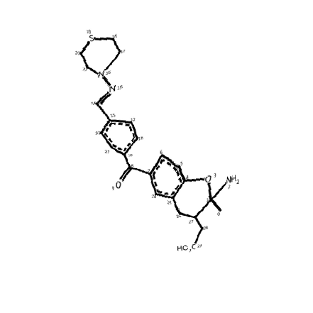 CC1(N)Oc2ccc(C(=O)c3ccc(C=NN4CCSCC4)cc3)cc2CC1CC(=O)O